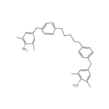 Cc1cc(Cc2ccc(CCCCCc3ccc(Cc4cc(C)c(N)c(C)c4)cc3)cc2)cc(C)c1N